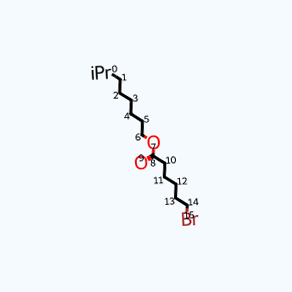 CC(C)CCCCCCOC(=O)CCCCCBr